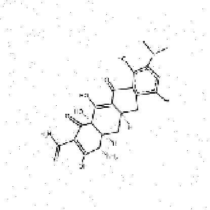 CN(C)c1cc(F)c2c(c1O)C(=O)C1=C(O)[C@]3(O)C(=O)C(C(N)=O)=C(O)[C@@H](N)[C@@H]3C[C@@H]1C2